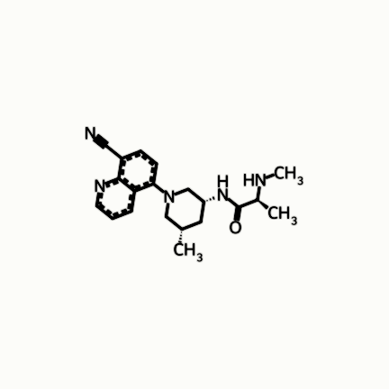 CN[C@@H](C)C(=O)N[C@@H]1C[C@H](C)CN(c2ccc(C#N)c3ncccc23)C1